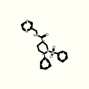 O=C(NCc1cnccn1)[C@@H]1CC[C@H](c2ccccc2)N(S(=O)(=O)c2ccccc2)C1